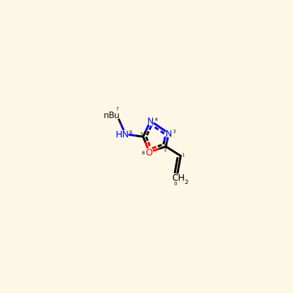 C=Cc1nnc(NCCCC)o1